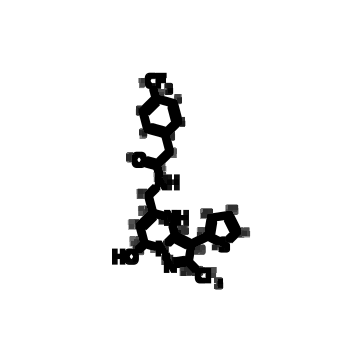 O=C(Cc1ccc(C(F)(F)F)cc1)NCC1=CC(O)n2nc(C(F)(F)F)c(-c3cccs3)c2N1